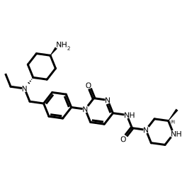 CCN(Cc1ccc(-n2ccc(NC(=O)N3CCN[C@H](C)C3)nc2=O)cc1)[C@H]1CC[C@H](N)CC1